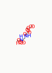 CC(=O)OCC(COC(=O)CCC(=O)NCCCCC(NC(=O)OC(C)(C)C)C(=O)O)OC(C)=O